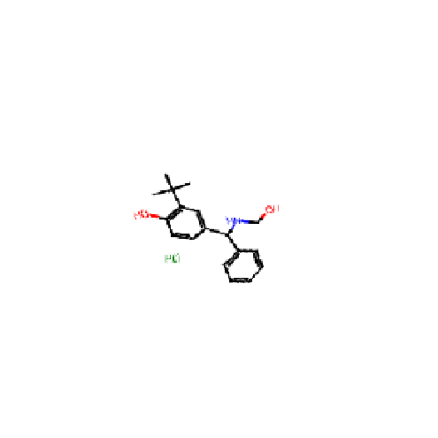 CC(C)(C)c1cc(C(NCO)c2ccccc2)ccc1O.Cl